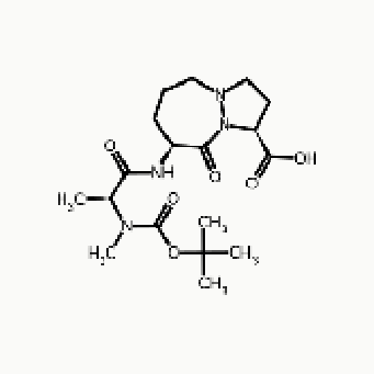 C[C@@H](C(=O)N[C@H]1CCCN2CC[C@@H](C(=O)O)N2C1=O)N(C)C(=O)OC(C)(C)C